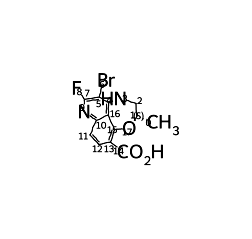 C[C@H]1CNc2c(Br)c(F)nc3ccc(C(=O)O)c(c23)O1